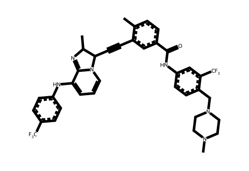 Cc1ccc(C(=O)Nc2ccc(CN3CCN(C)CC3)c(C(F)(F)F)c2)cc1C#CC1C(C)N=C2C(Nc3ccc(C(F)(F)F)cc3)=CC=CN21